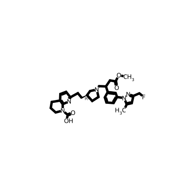 COC(=O)CC(CN1CC[C@@H](CCc2ccc3c(n2)N(C(=O)O)CCC3)C1)c1cccc(-n2nc(CF)cc2C)c1